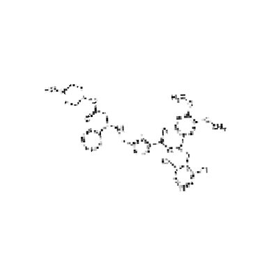 COc1ccc([C@H](Cc2c(Cl)cncc2Cl)OC(=O)c2ccc(CNC(CC(=O)OC3CCN(O)CC3)c3ccccc3)s2)cc1OC